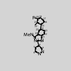 CNc1nc(-c2ccnnc2)nc2ccc(-c3cccc(F)c3C)cc12